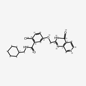 O=C(NCC1CCCCC1)c1cc(OCc2nc3cnccc3c(=O)[nH]2)ccc1Cl